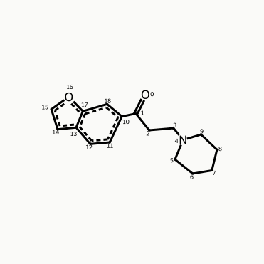 O=C(CCN1CCCCC1)c1ccc2ccoc2c1